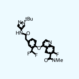 CNC(=O)c1cc2c(Oc3ccc(CC(=O)Nc4cnn(C(C)(C)C)c4)cc3C(F)F)ccnc2cc1F